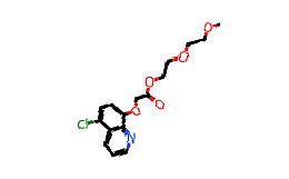 COCCOCCOC(=O)COc1ccc(Cl)c2cccnc12